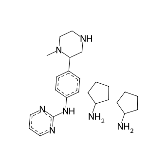 CN1CCNCC1c1ccc(Nc2ncccn2)cc1.NC1CCCC1.NC1CCCC1